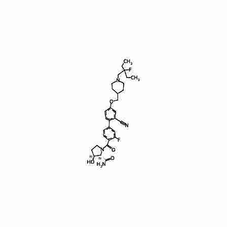 CCC(F)(CC)CN1CCC(COc2ccc(-c3ccc(C(=O)N4CC[C@H](O)[C@H]4C(N)=O)c(F)c3)c(C#N)c2)CC1